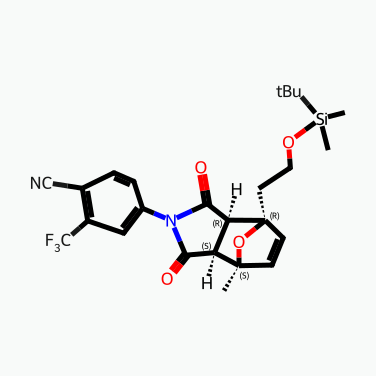 CC(C)(C)[Si](C)(C)OCC[C@]12C=C[C@](C)(O1)[C@H]1C(=O)N(c3ccc(C#N)c(C(F)(F)F)c3)C(=O)[C@H]12